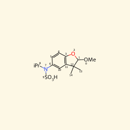 COC1Oc2ccc(N(C(C)C)S(=O)(=O)O)cc2C1(C)C